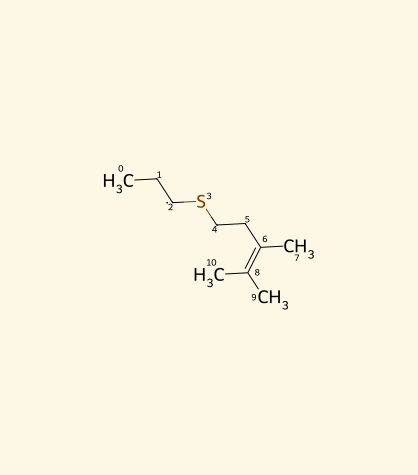 CC[CH]SCCC(C)=C(C)C